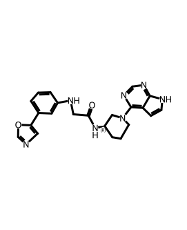 O=C(CNc1cccc(-c2cnco2)c1)N[C@@H]1CCCN(c2ncnc3[nH]ccc23)C1